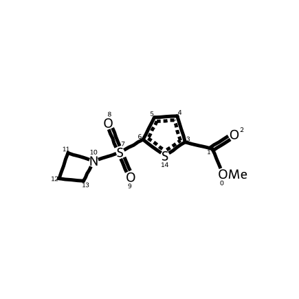 COC(=O)c1ccc(S(=O)(=O)N2CCC2)s1